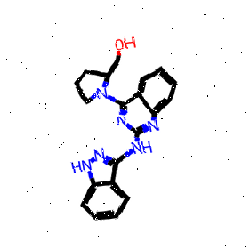 OCC1CCCN1c1nc(Nc2n[nH]c3ccccc23)nc2ccccc12